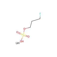 O=S(=O)(O)OCCCF.[LiH]